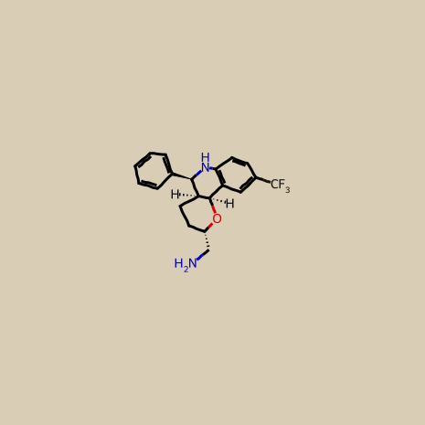 NC[C@@H]1CC[C@H]2[C@@H](c3ccccc3)Nc3ccc(C(F)(F)F)cc3[C@H]2O1